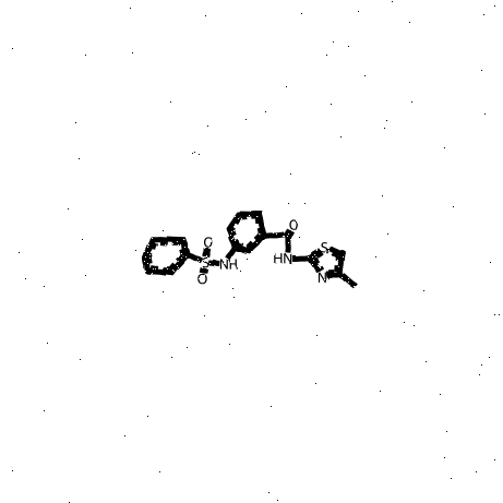 Cc1csc(NC(=O)c2cccc(NS(=O)(=O)c3ccccc3)c2)n1